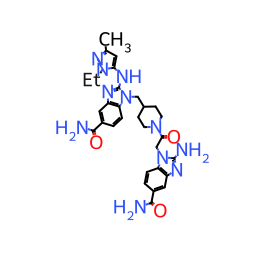 CCn1nc(C)cc1Nc1nc2cc(C(N)=O)ccc2n1CC1CCN(C(=O)Cn2c(N)nc3cc(C(N)=O)ccc32)CC1